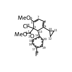 COC(=O)C1(Cl)C(OC)=CC=C(C2CC2)C1c1ccc(F)cc1